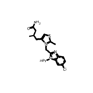 CCCn1c(CN2C(CC(C)CC(N)=O)=CSC2C)nc2ccc(Cl)cc21